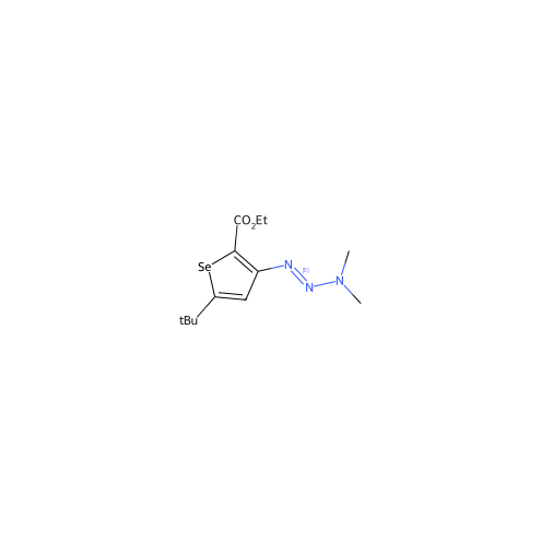 CCOC(=O)c1[se]c(C(C)(C)C)cc1/N=N/N(C)C